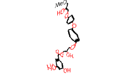 COCC(O)COc1ccc(Oc2ccc(OCC(O)COC(=O)c3cc(O)cc(O)c3)cc2)cc1